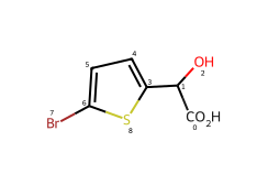 O=C(O)C(O)c1ccc(Br)s1